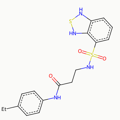 CCc1ccc(NC(=O)CCNS(=O)(=O)c2cccc3c2NSN3)cc1